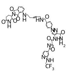 NC(=O)c1nn(-c2ccc(C(=O)NCC#CCCNc3cccc4c3C(=O)N(C3CCC(=O)NC3=O)C4=O)cc2)cc1NC(=O)c1coc(-c2ccnc(NCC(F)(F)F)c2)n1